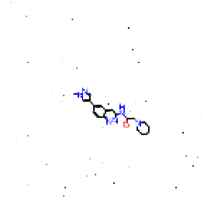 Cn1cc(-c2ccc3nnc(NC(=O)CN4CCCCC4)cc3c2)cn1